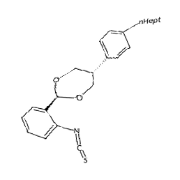 CCCCCCCc1ccc([C@H]2CO[C@H](c3ccccc3N=C=S)OC2)cc1